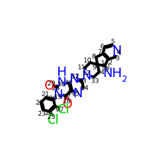 N[C@@H]1c2cnccc2CC12CCN(c1cnc3c(=O)n(-c4cccc(Cl)c4Cl)c(=O)[nH]c3n1)CC2